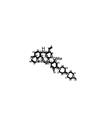 C=Cc1cnc(Nc2cc(C)c(N3CCC(N4CCN(C)CC4)CC3)cc2OC)nc1Nc1ccc2nccnc2c1CNC(C)C